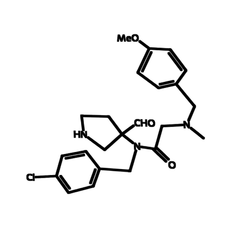 COc1ccc(CN(C)CC(=O)N(Cc2ccc(Cl)cc2)C2(C=O)CCNC2)cc1